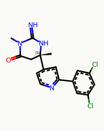 CN1C(=N)N[C@](C)(c2ccnc(-c3cc(Cl)cc(Cl)c3)c2)CC1=O